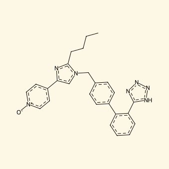 CCCCc1nc(-c2cc[n+]([O-])cc2)cn1Cc1ccc(-c2ccccc2-c2nnn[nH]2)cc1